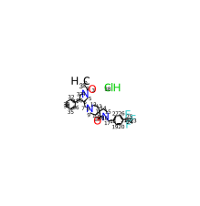 CCC(=O)N1CC(CN2CCC3(CC2)CCN(Cc2ccc(C(F)(F)F)cc2)C3=O)C(c2ccccc2)C1.Cl